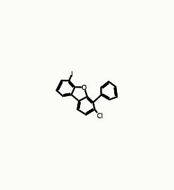 Clc1ccc2c(oc3c(I)cccc32)c1-c1ccccc1